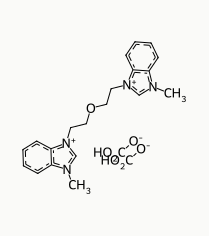 Cn1c[n+](CCOCC[n+]2cn(C)c3ccccc32)c2ccccc21.O=C([O-])O.O=C([O-])O